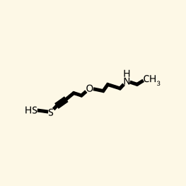 CCNCCCOCCC#CSS